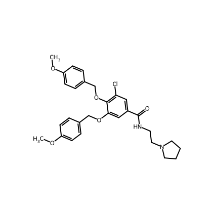 COc1ccc(COc2cc(C(=O)NCCN3CCCC3)cc(Cl)c2OCc2ccc(OC)cc2)cc1